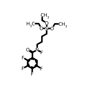 CCO[Si](CCCCN(F)C(=O)c1cc(F)c(F)c(F)c1F)(OCC)OCC